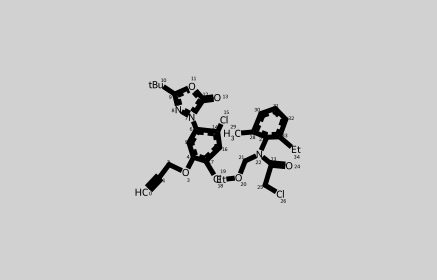 C#CCOc1cc(-n2nc(C(C)(C)C)oc2=O)c(Cl)cc1Cl.CCOCN(C(=O)CCl)c1c(C)cccc1CC